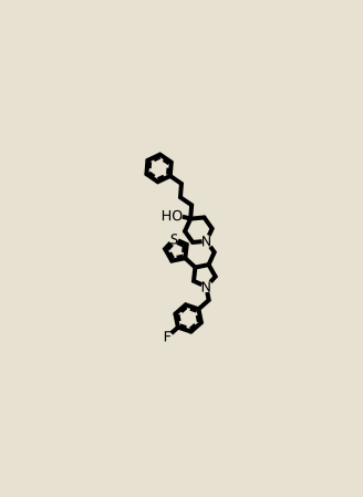 OC1(CCCc2ccccc2)CCN(CC2CN(Cc3ccc(F)cc3)CC2c2ccsc2)CC1